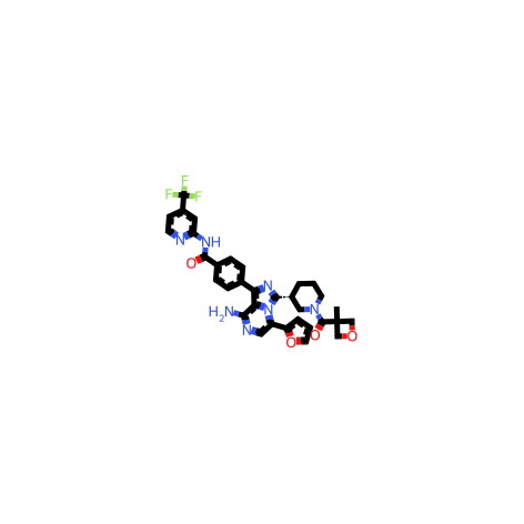 CC1(C(=O)N2CCC[C@@H](c3nc(-c4ccc(C(=O)Nc5cc(C(F)(F)F)ccn5)cc4)c4c(N)ncc(-c5ccco5)n34)C2)COC1